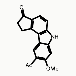 COc1cc2[nH]c3ccc4c(c3c2cc1C(C)=O)CCC4=O